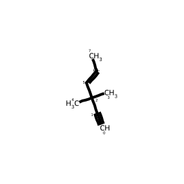 C#CC(C)(C)/C=[C]/C